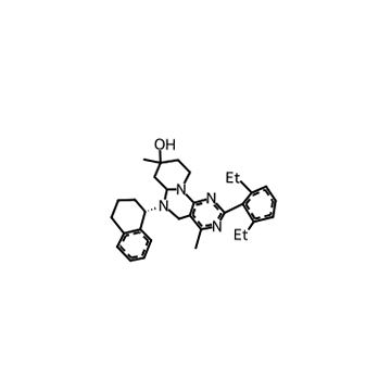 CCc1cccc(CC)c1-c1nc(C)c2c(n1)N1CCC(C)(O)CC1N([C@H]1CCCc3ccccc31)C2